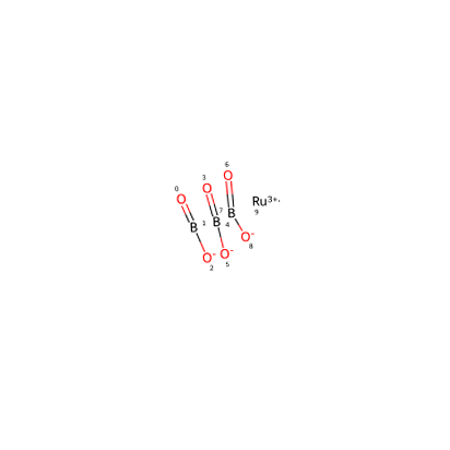 O=B[O-].O=B[O-].O=B[O-].[Ru+3]